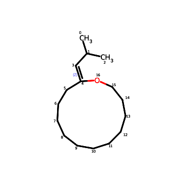 CC(C)/C=C1/CCCCCCCCCCCO1